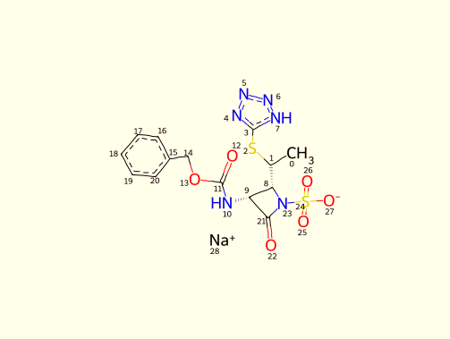 CC(Sc1nnn[nH]1)[C@H]1[C@@H](NC(=O)OCc2ccccc2)C(=O)N1S(=O)(=O)[O-].[Na+]